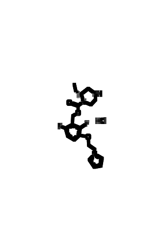 CC[C@@H]1CNCCN1C(=O)OCc1c(F)ccc(OCCn2cccc2)c1F.Cl